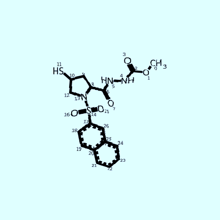 COC(=O)NNC(=O)C1CC(S)CN1S(=O)(=O)c1ccc2ccccc2c1